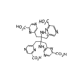 NC(Cc1cncc(C(=O)O)n1)(Cc1cncc(C(=O)O)n1)C(N)(Cc1cncc(C(=O)O)n1)Cc1cncc(C(=O)O)n1